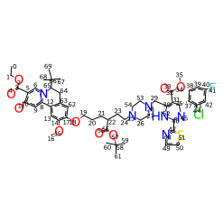 CCOC(=O)c1cn2c(cc1=O)-c1cc(OC)c(OCCCC(CCN3CCN(CC4=C(C(=O)OC)[C@H](c5ccc(F)cc5Cl)N=C(c5nccs5)N4)CC3)C(=O)OC(C)(C)C)cc1CC2C(C)(C)C